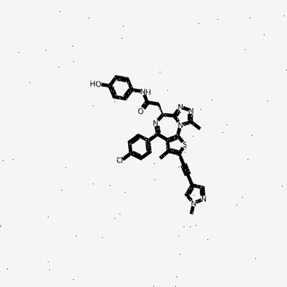 Cc1c(C#Cc2cnn(C)c2)sc2c1C(c1ccc(Cl)cc1)=N[C@@H](CC(=O)Nc1ccc(O)cc1)c1nnc(C)n1-2